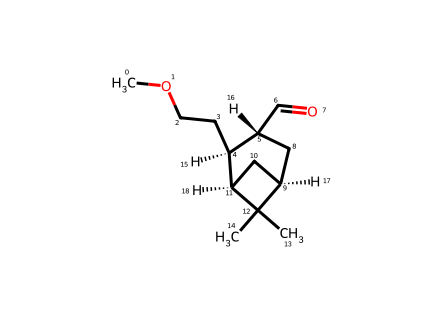 COCC[C@H]1[C@H](C=O)C[C@@H]2C[C@H]1C2(C)C